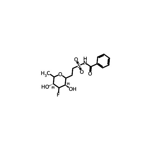 CC1OC(CCS(=O)(=O)NC(=O)c2ccccc2)[C@@H](O)C(F)[C@@H]1O